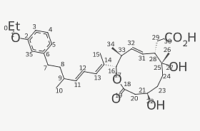 CCOc1cccc(CCC(C)/C=C/C=C(\C)[C@H]2OC(=O)C[C@H](O)CC[C@@](C)(O)[C@@H](CC(=O)O)/C=C/[C@@H]2C)c1